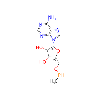 CPOC[C@H]1O[C@@H](n2cnc3c(N)ncnc32)C(O)C1O